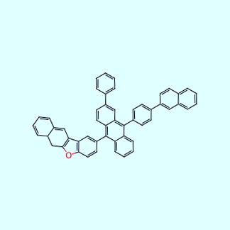 C1=CC2=Cc3c(oc4ccc(-c5c6ccccc6c(-c6ccc(-c7ccc8ccccc8c7)cc6)c6cc(-c7ccccc7)ccc56)cc34)CC2C=C1